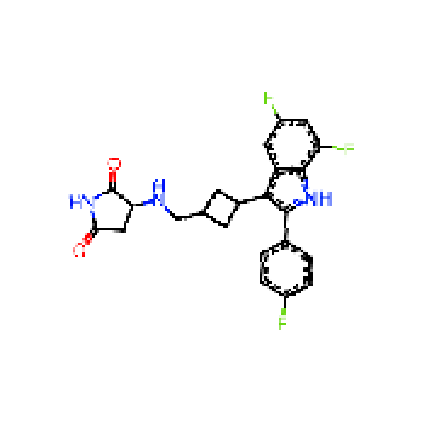 O=C1CC(NCC2CC(c3c(-c4ccc(F)cc4)[nH]c4c(F)cc(F)cc34)C2)C(=O)N1